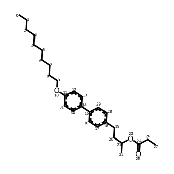 CCCCCCCCCCOc1ccc(-c2ccc(CCC(C)OC(=O)CC)cc2)cc1